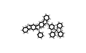 c1ccc(-n2c3cc4c(cc3c3cc5c6ccccc6n(-c6ccc(C7(c8ccccc8)c8ccccc8-c8ccccc87)cc6)c5cc32)oc2ccccc24)cc1